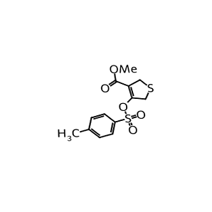 COC(=O)C1=C(OS(=O)(=O)c2ccc(C)cc2)CSC1